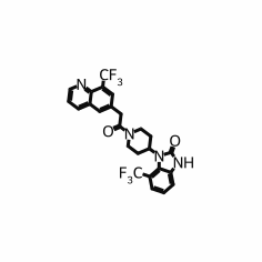 O=C(Cc1cc(C(F)(F)F)c2ncccc2c1)N1CCC(n2c(=O)[nH]c3cccc(C(F)(F)F)c32)CC1